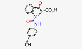 C#Cc1ccc(NC(=O)n2cc(C(=O)O)c(=O)c3ccccc32)cc1